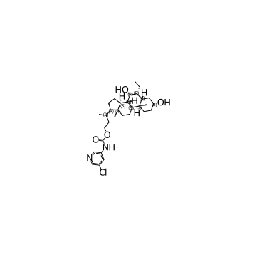 CC[C@H]1[C@@H](O)[C@@H]2[C@H](CC[C@]3(C)[C@@H]([C@H](C)CCOC(=O)Nc4cncc(Cl)c4)CC[C@@H]23)[C@@]2(C)CC[C@@H](O)C[C@@H]12